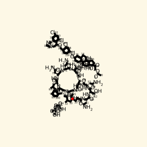 CC(=O)OCC(=O)[C@@]1(O)CC[C@H]2[C@@H]3CCC4=CC(=O)C=C[C@]4(C)[C@H]3[C@@H](O)C[C@@]21C.CCC(C)CCCCC(=O)N[C@@H](CCN)C(=O)N[C@H](C(=O)N[C@@H](CCN)C(=O)N[C@H]1CCNC(=O)[C@H]([C@@H](C)O)NC(=O)[C@H](CCN)NC(=O)[C@H](CCN)NC(=O)[C@H](CC(C)C)NC(=O)[C@@H](Cc2ccccc2)NC(=O)[C@@H](CCN)NC1=O)[C@@H](C)O.Clc1ccc(COC(Cn2ccnc2)c2ccc(Cl)cc2Cl)c(Cl)c1.O=S(=O)(O)O.O=[N+]([O-])O